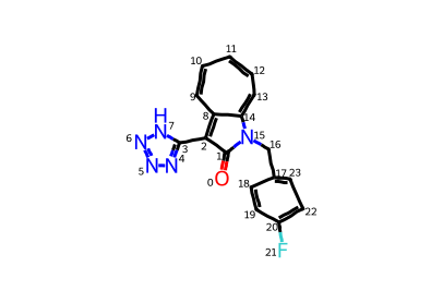 O=c1c(-c2nnn[nH]2)c2cccccc-2n1Cc1ccc(F)cc1